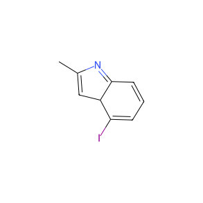 CC1=CC2C(I)=CC=CC2=N1